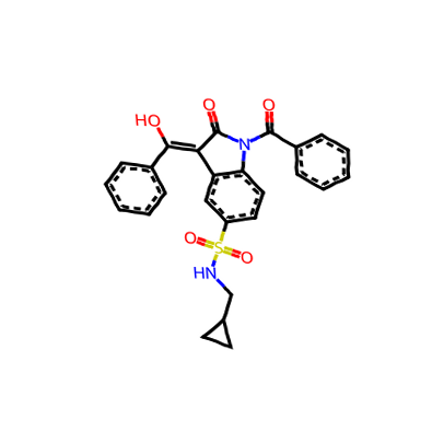 O=C1/C(=C(\O)c2ccccc2)c2cc(S(=O)(=O)NCC3CC3)ccc2N1C(=O)c1ccccc1